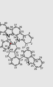 CC1CC=Cc2c1n(C1=CCC3Cc4cccc(-c5cccc6c5sc5ccccc56)c4C3=C1)c1c2ccc2c3ccccc3n(-c3ccccc3)c21